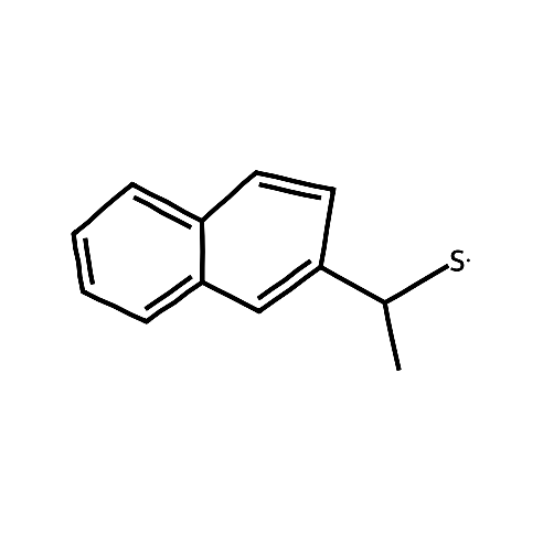 CC([S])c1ccc2ccccc2c1